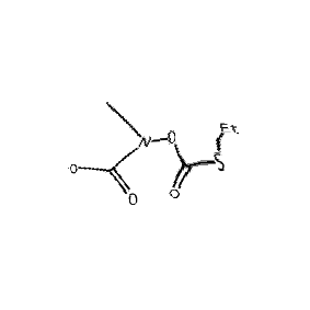 CCSC(=O)ON(C)C([O])=O